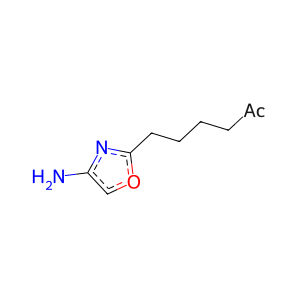 CC(=O)CCCCc1nc(N)co1